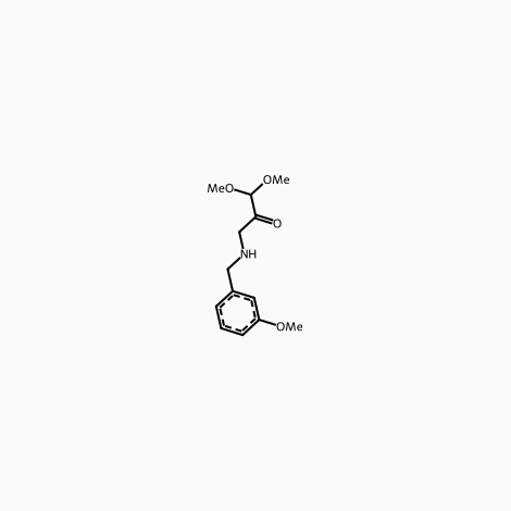 COc1cccc(CNCC(=O)C(OC)OC)c1